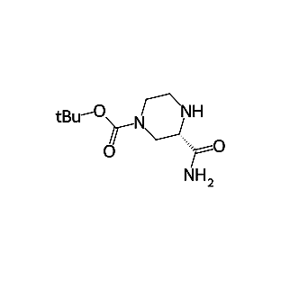 CC(C)(C)OC(=O)N1CCN[C@H](C(N)=O)C1